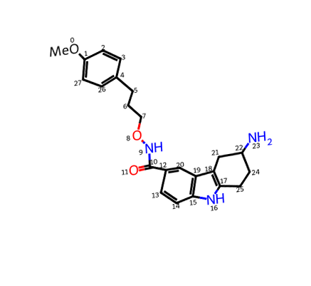 COc1ccc(CCCONC(=O)c2ccc3[nH]c4c(c3c2)CC(N)CC4)cc1